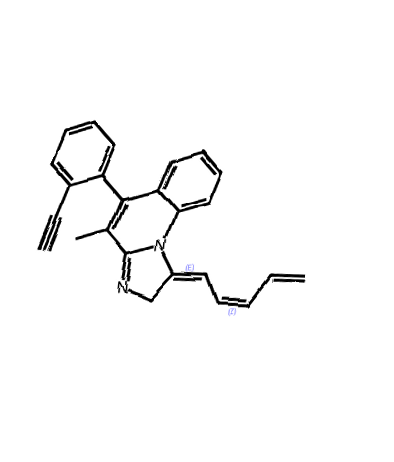 C#Cc1ccccc1C1=C(C)C2=NC/C(=C\C=C/C=C)N2c2ccccc21